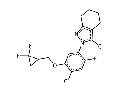 Fc1cc(Cl)c(OCC2CC2(F)F)cc1-n1nc2c(c1Cl)CCCC2